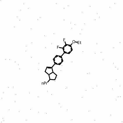 CCCC1CCC2C(c3ccc(-c4ccc(OCC)c(F)c4F)cc3)=CCC12